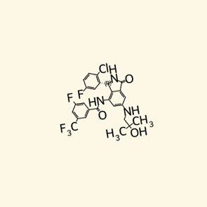 CC(C)(O)CNc1cc(NC(=O)c2cc(F)cc(C(F)(F)F)c2)c2c(c1)C(=O)N[C@H]2c1cc(F)ccc1Cl